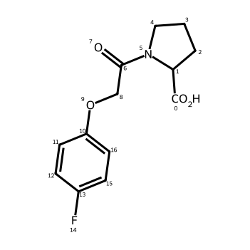 O=C(O)C1CCCN1C(=O)COc1ccc(F)cc1